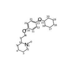 CN1CCCCC1CCOc1ccc(OC2CCCCC2)cc1